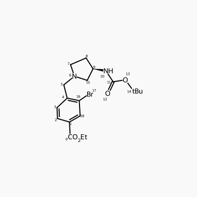 CCOC(=O)c1ccc(CN2CC[C@@H](NC(=O)OC(C)(C)C)C2)c(Br)c1